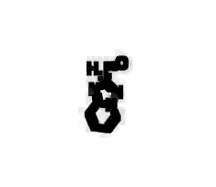 O=[PH2]c1nc2ccccn2n1